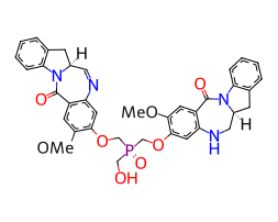 COc1cc2c(cc1OCP(=O)(CO)COc1cc3c(cc1OC)C(=O)N1c4ccccc4C[C@H]1CN3)N=C[C@@H]1Cc3ccccc3N1C2=O